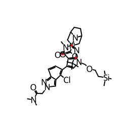 CN(C)C(=O)Cn1cc2c(Cl)c(-c3cn(COCC[Si](C)(C)C)c4nc(N5C6CCC5CN(C(=O)OC(C)(C)C)C6)n(C)c(=O)c34)ccc2n1